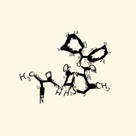 C=C1CS[C@@H]2[C@H](NC(=O)C(C)C#N)C(=O)N2[C@H]1C(=O)OC(c1ccccc1)c1ccccc1